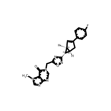 Cn1cnc2ncn(Cc3nc([C@@H]4[C@H]5C=C(c6ccc(F)cc6)C[C@H]54)no3)c(=O)c21